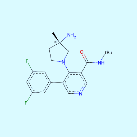 CC(C)(C)NC(=O)c1cncc(-c2cc(F)cc(F)c2)c1N1CC[C@](C)(N)C1